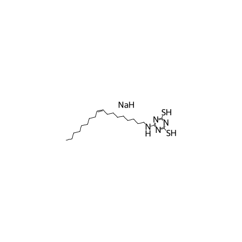 CCCCCCCC/C=C\CCCCCCCCNc1nc(S)nc(S)n1.[NaH]